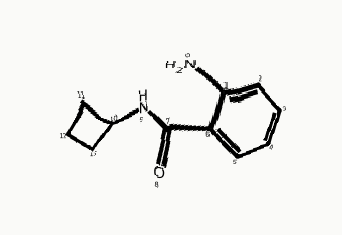 Nc1ccccc1C(=O)NC1CCC1